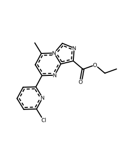 CCOC(=O)c1ncn2c(C)cc(-c3cccc(Cl)n3)nc12